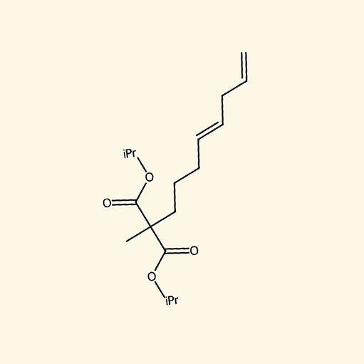 C=CCC=CCCCC(C)(C(=O)OC(C)C)C(=O)OC(C)C